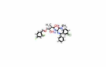 C[C@@H](C(=O)NC1N=C(c2ccccc2)c2cc(Cl)ccc2N(C)C1=O)[C@H](O)COCc1ccc(F)cc1F